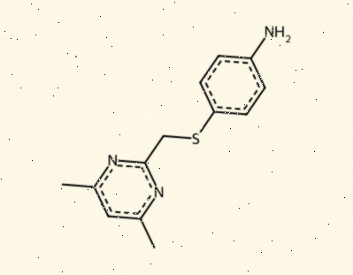 Cc1cc(C)nc(CSc2ccc(N)cc2)n1